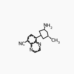 C[C@H]1CC(c2ccc(C#N)c3nccnc23)C[C@@H](N)C1